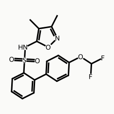 Cc1noc(NS(=O)(=O)c2ccccc2-c2ccc(OC(F)F)cc2)c1C